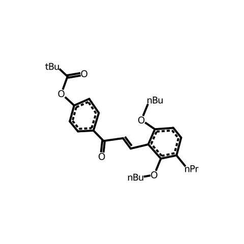 CCCCOc1ccc(CCC)c(OCCCC)c1C=CC(=O)c1ccc(OC(=O)C(C)(C)C)cc1